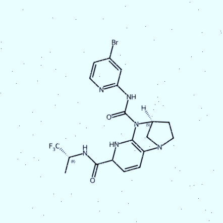 C[C@@H](NC(=O)C1C=CC2=C(N1)N(C(=O)Nc1cc(Br)ccn1)[C@H]1CCN2C1)C(F)(F)F